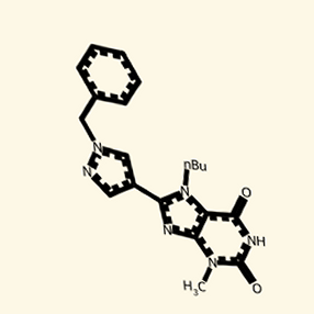 CCCCn1c(-c2cnn(Cc3ccccc3)c2)nc2c1c(=O)[nH]c(=O)n2C